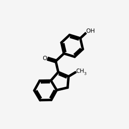 CC1=C(C(=O)c2ccc(O)cc2)c2ccccc2C1